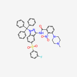 CN1CCN(c2cccc(C(=O)Nc3nn(C(c4ccccc4)(c4ccccc4)c4ccccc4)c4ccc(S(=O)(=O)c5cccc(F)c5)cc34)c2[N+](=O)[O-])CC1